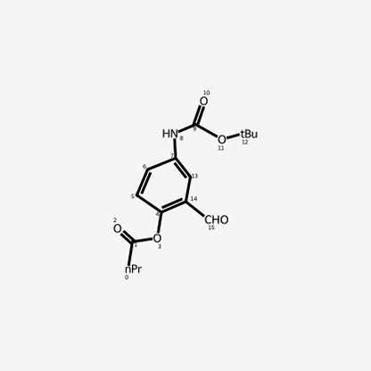 CCCC(=O)Oc1ccc(NC(=O)OC(C)(C)C)cc1C=O